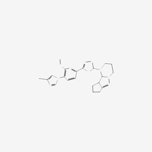 COc1nc(C2=NSC(N3CCCN4N=C5CCCC5C43)N2)ccc1-n1cnc(C)c1